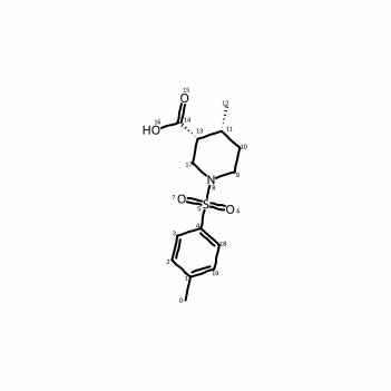 Cc1ccc(S(=O)(=O)N2CC[C@@H](C)[C@@H](C(=O)O)C2)cc1